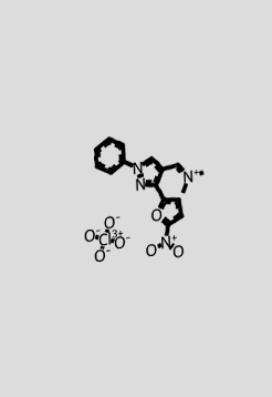 C[N+](C)=Cc1cn(-c2ccccc2)nc1-c1ccc([N+](=O)[O-])o1.[O-][Cl+3]([O-])([O-])[O-]